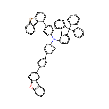 c1ccc(C2(c3ccccc3)c3ccccc3-c3c(N(c4ccc(-c5ccc(-c6ccc7oc8ccccc8c7c6)cc5)cc4)c4ccc(-c5cccc6sc7ccccc7c56)cc4)cccc32)cc1